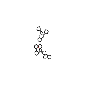 c1ccc(-c2ccccc2N(c2ccc(-c3ccc4cc5c(cc4c3)c3ccccc3n5-c3ccccc3)cc2)c2ccc3c(c2)oc2ccccc23)cc1